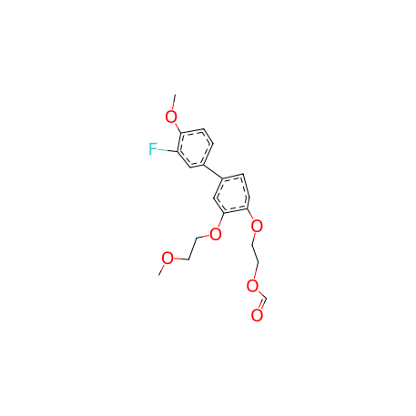 COCCOc1cc(-c2ccc(OC)c(F)c2)ccc1OCCOC=O